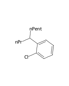 CCCCCC(CCC)c1ccccc1Cl